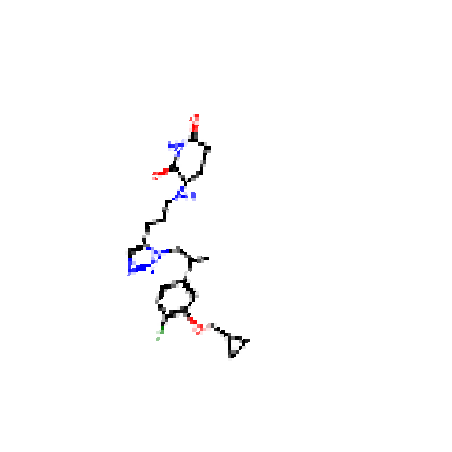 CC(Cn1nncc1CCCNC1CCC(=O)NC1=O)c1ccc(F)c(OCC2CC2)c1